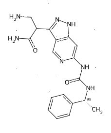 C[C@@H](NC(=O)Nc1cc2[nH]nc(C(CN)C(N)=O)c2cn1)c1ccccc1